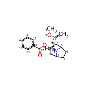 C=C(OC)[C@@H]1C2CCC(C[C@@H]1OC(=O)c1ccccc1)N2C